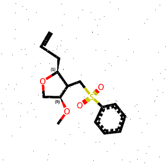 C=CC[C@@H]1OC[C@H](OC)C1CS(=O)(=O)c1ccccc1